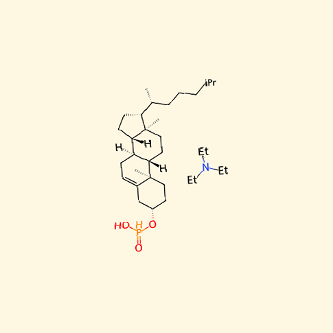 CC(C)CCC[C@@H](C)[C@H]1CC[C@H]2[C@@H]3CC=C4C[C@@H](O[PH](=O)O)CC[C@]4(C)[C@H]3CC[C@]12C.CCN(CC)CC